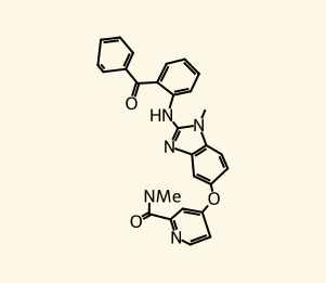 CNC(=O)c1cc(Oc2ccc3c(c2)nc(Nc2ccccc2C(=O)c2ccccc2)n3C)ccn1